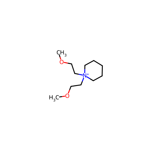 COCC[N+]1(CCOC)CCCCC1